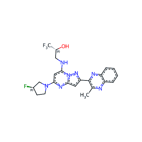 Cc1nc2ccccc2nc1-c1cc2nc(N3CC[C@@H](F)C3)cc(NC[C@@H](O)C(F)(F)F)n2n1